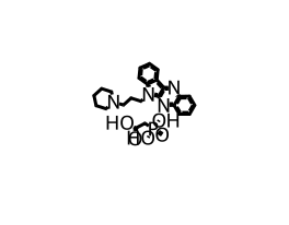 O=C(O)CP(=O)(O)O.c1ccc2nc3c(nc2c1)c1ccccc1n3CCCN1CCCCC1